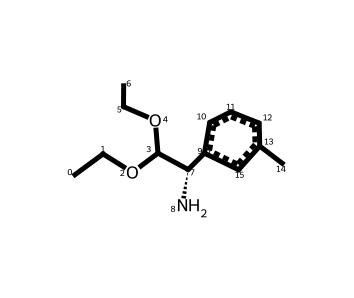 CCOC(OCC)[C@@H](N)c1cccc(C)c1